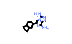 Nc1nc(-c2ccc3c(c2)CCC3)cn2c(N)nnc12